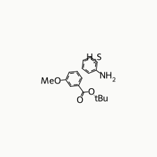 COc1cccc(C(=O)OC(C)(C)C)c1.Nc1ccccc1.S